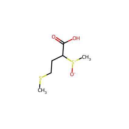 CSCCC(C(=O)O)[S+](C)[O-]